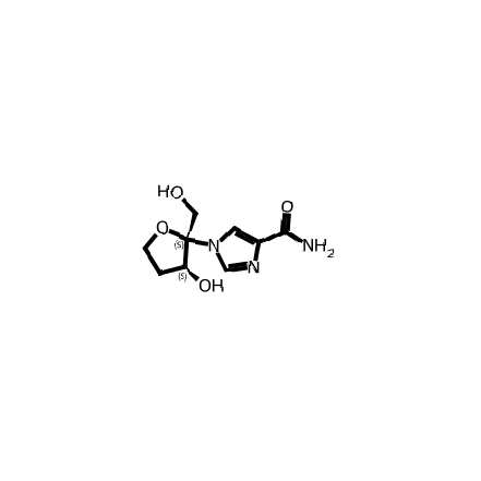 NC(=O)c1cn([C@@]2(CO)OCC[C@@H]2O)cn1